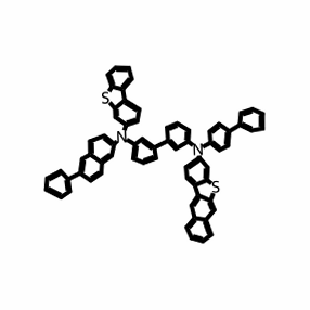 c1ccc(-c2ccc(N(c3cccc(-c4cccc(N(c5ccc6cc(-c7ccccc7)ccc6c5)c5ccc6c(c5)sc5ccccc56)c4)c3)c3ccc4c(c3)sc3cc5ccccc5cc34)cc2)cc1